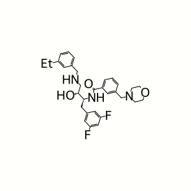 CCc1cccc(CNC[C@H](O)[C@H](Cc2cc(F)cc(F)c2)NC(=O)c2cccc(CN3CCOCC3)c2)c1